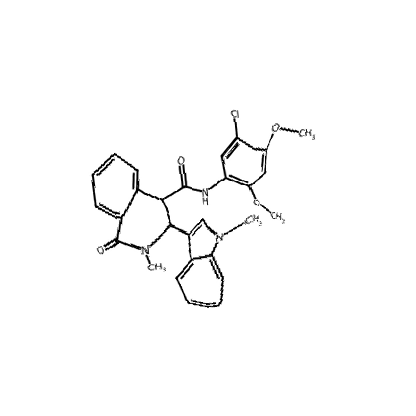 COc1cc(OC)c(NC(=O)C2c3ccccc3C(=O)N(C)C2c2cn(C)c3ccccc23)cc1Cl